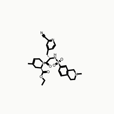 CCOC(=O)[C@H]1CC(C)=CCN1C(=O)[C@H](Cc1ccnc(C#N)c1)NS(=O)(=O)c1ccc2c(c1)CN(C)CC2